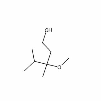 COC(C)(CCO)C(C)C